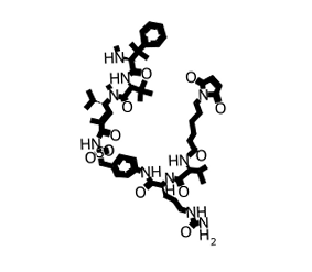 CN[C@H](C(=O)N[C@H](C(=O)N(C)[C@H](/C=C(\C)C(=O)NS(=O)(=O)Cc1ccc(NC(=O)[C@H](CCCNC(N)=O)NC(=O)[C@@H](NC(=O)CCCCCN2C(=O)C=CC2=O)C(C)C)cc1)C(C)C)C(C)(C)C)C(C)(C)c1ccccc1